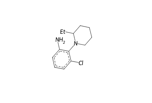 CCC1CCCCN1c1c(N)cccc1Cl